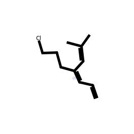 C=C/C=C(\C=C(C)C)CCCCl